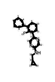 Fc1c(-c2ccccc2)cccc1-c1cnc(NCC2CC2)cn1